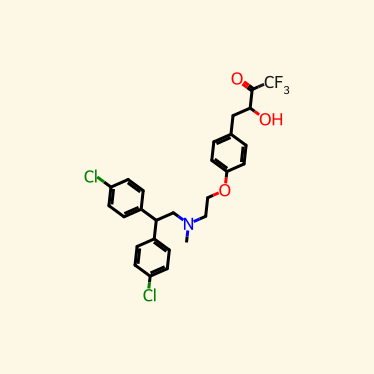 CN(CCOc1ccc(CC(O)C(=O)C(F)(F)F)cc1)CC(c1ccc(Cl)cc1)c1ccc(Cl)cc1